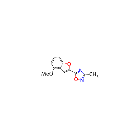 COc1cccc2oc(-c3nc(C)no3)cc12